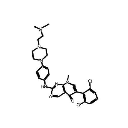 CN(C)CCN1CCN(c2ccc(Nc3ncc4c(=O)c(-c5c(Cl)cccc5Cl)cn(C)c4n3)cc2)CC1